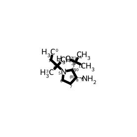 CCC(C)(C)N1CC[C@@H](N)[C@H]1C(C)(C)C